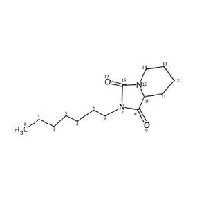 CCCCCCCN1C(=O)C2CCCCN2C1=O